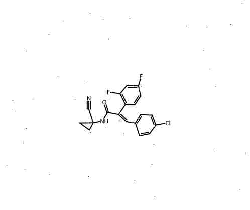 N#CC1(NC(=O)/C(=C/c2ccc(Cl)cc2)c2ccc(F)cc2F)CC1